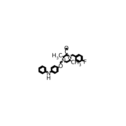 C[C@@H]1C(=C=O)N(Cc2ccc(F)cc2)[C@@H](C)CN1COc1ccc(Nc2ccccc2)cc1